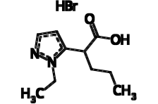 Br.CCCC(C(=O)O)c1ccnn1CC